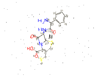 CSCC1=C(C(=O)O)N2C(=O)[C@@H](NC(=O)C(N)c3ccccc3)[C@H]2SC1